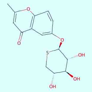 Cc1cc(=O)c2cc(O[C@@H]3SC[C@@H](O)[C@H](O)[C@H]3O)ccc2o1